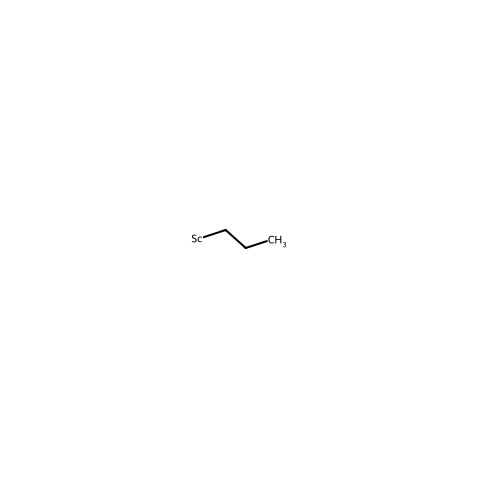 CC[CH2][Sc]